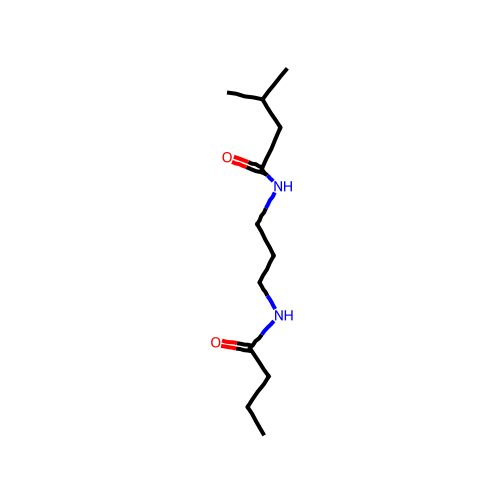 CCCC(=O)NCCCNC(=O)CC(C)C